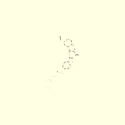 C=Cc1ccc2oc3c(=O)[nH]c(-c4ccc(NC(=O)CCN5CCOCC5)cc4Cl)nc3c2c1